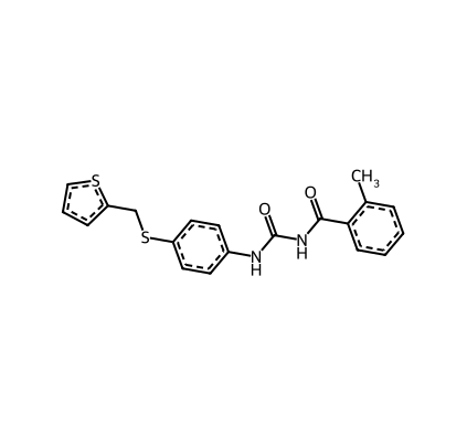 Cc1ccccc1C(=O)NC(=O)Nc1ccc(SCc2cccs2)cc1